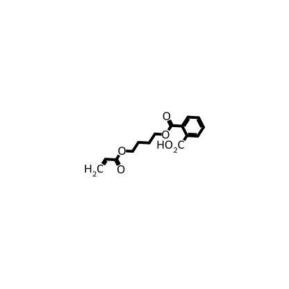 C=CC(=O)OCCCCOC(=O)c1ccccc1C(=O)O